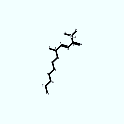 C=C(/C=C/C(C)CCCCCCC)N(C)C